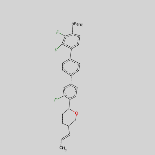 C/C=C/C1CCC(c2ccc(-c3ccc(-c4ccc(CCCCC)c(F)c4F)cc3)cc2F)OC1